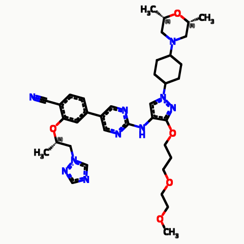 COCCOCCCOc1nn(C2CCC(N3C[C@@H](C)O[C@@H](C)C3)CC2)cc1Nc1ncc(-c2ccc(C#N)c(O[C@@H](C)Cn3cncn3)c2)cn1